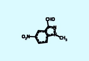 Cn1nc(C=O)c2cc([N+](=O)[O-])ccc21